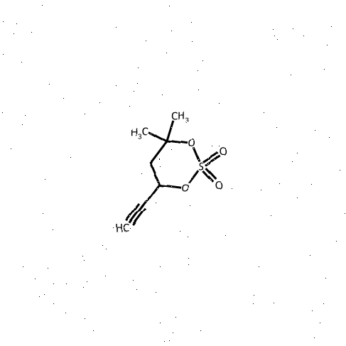 C#CC1CC(C)(C)OS(=O)(=O)O1